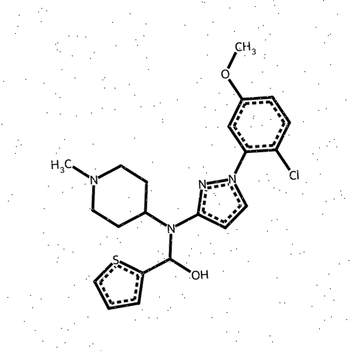 COc1ccc(Cl)c(-n2ccc(N(C3CCN(C)CC3)C(O)c3cccs3)n2)c1